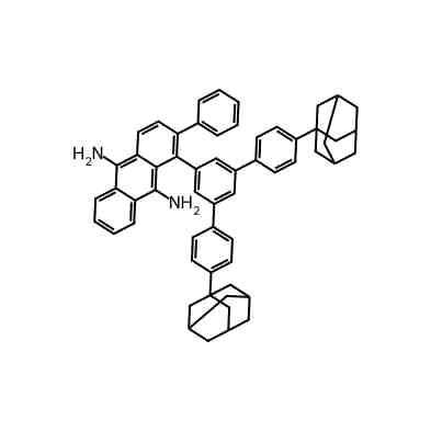 Nc1c2ccccc2c(N)c2c(-c3cc(-c4ccc(C56CC7CC(CC(C7)C5)C6)cc4)cc(-c4ccc(C56CC7CC(CC(C7)C5)C6)cc4)c3)c(-c3ccccc3)ccc12